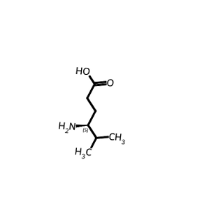 CC(C)[C@@H](N)CCC(=O)O